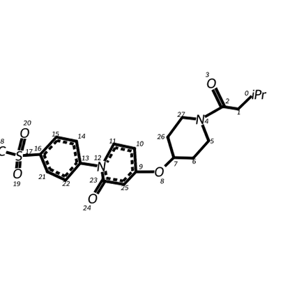 CC(C)CC(=O)N1CCC(Oc2ccn(-c3ccc(S(C)(=O)=O)cc3)c(=O)c2)CC1